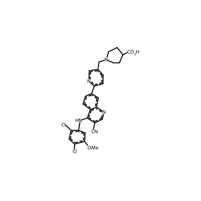 COc1cc(Nc2c(C#N)cnc3cc(-c4ccc(CN5CCC(C(=O)O)CC5)cn4)ccc23)c(Cl)cc1Cl